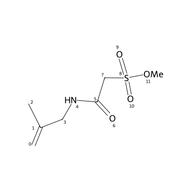 C=C(C)CNC(=O)CS(=O)(=O)OC